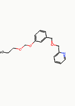 COCCOCOc1cccc(COCc2ccccn2)c1